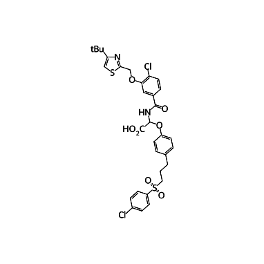 CC(C)(C)c1csc(COc2cc(C(=O)NC(Oc3ccc(CCCS(=O)(=O)c4ccc(Cl)cc4)cc3)C(=O)O)ccc2Cl)n1